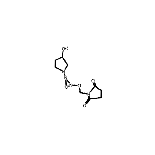 O=C1CCC(=O)N1COn1on1N1CCC(O)C1